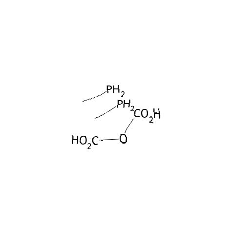 CP.CP.O=C(O)OC(=O)O